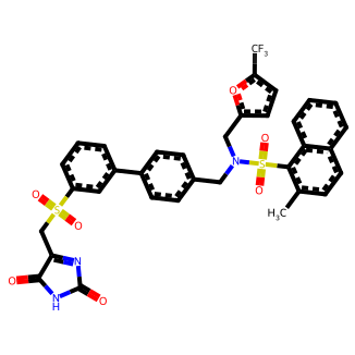 Cc1ccc2ccccc2c1S(=O)(=O)N(Cc1ccc(-c2cccc(S(=O)(=O)CC3=NC(=O)NC3=O)c2)cc1)Cc1ccc(C(F)(F)F)o1